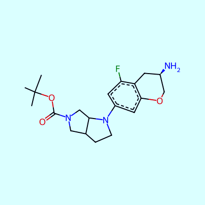 CC(C)(C)OC(=O)N1CC2CCN(c3cc(F)c4c(c3)OC[C@H](N)C4)C2C1